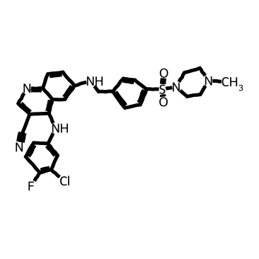 CN1CCN(S(=O)(=O)c2ccc(CNc3ccc4ncc(C#N)c(Nc5ccc(F)c(Cl)c5)c4c3)cc2)CC1